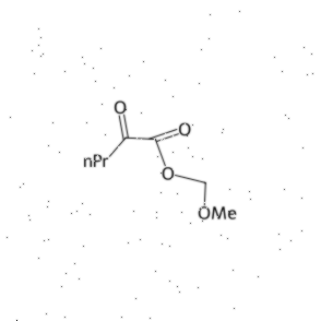 CCCC(=O)C(=O)OCOC